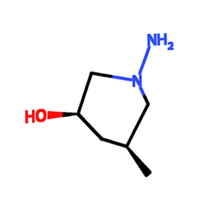 C[C@H]1C[C@@H](O)CN(N)C1